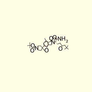 Cc1cc2c(c3c1C(=O)N([C@@H](CCC(=O)CC(C)(C)C)C(N)=O)C3)OCC21CCN(C(=O)OC(C)(C)C)CC1